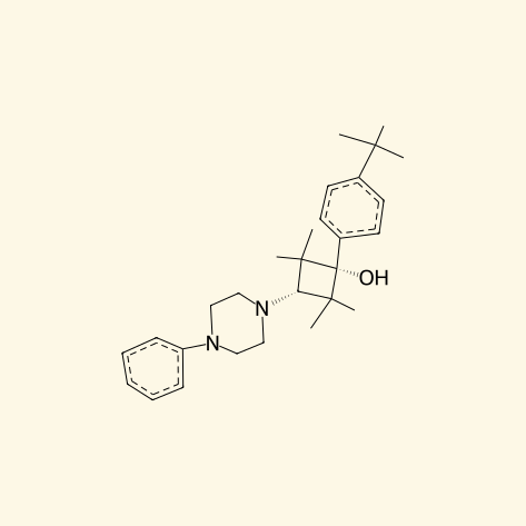 CC(C)(C)c1ccc([C@]2(O)C(C)(C)[C@@H](N3CCN(c4ccccc4)CC3)C2(C)C)cc1